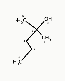 [CH2]C(C)(O)CCC